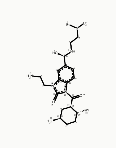 CCN(CC)CCN[C@H](O)c1ccc2c(c1)n(CCN)c(=O)n2C(=O)[C@@H]1C[C@H](C)CC[C@H]1C(C)C